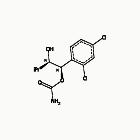 CC(C)[C@@H](O)[C@H](OC(N)=O)c1ccc(Cl)cc1Cl